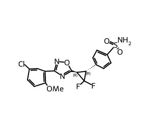 COc1ccc(Cl)cc1-c1noc([C@H]2[C@H](c3ccc(S(N)(=O)=O)cc3)C2(F)F)n1